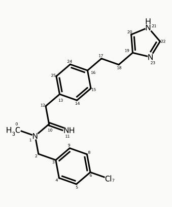 CN(Cc1ccc(Cl)cc1)C(=N)Cc1ccc(CCc2c[nH]cn2)cc1